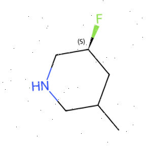 CC1CNC[C@@H](F)C1